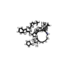 CC(C)(C)c1ccc(-c2nc(O[C@@H]3C[C@H]4C(=O)N[C@]5(C(=O)NS(=O)(=O)C6(C)CC6)C[C@H]5/C=C\CCCCC[C@H](NC(=O)OC5CCCC5)C(=O)N4C3)c3oc4ccccc4c3n2)s1